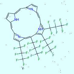 FC(F)(F)C(F)(F)C(F)(F)C1=Cc2cc3ccc(cc4nc(cc5[nH]c(c(C(F)(F)C(F)(F)C(F)(F)F)c1n2)c(C(F)(F)C(F)(F)C(F)(F)F)c5C(F)(F)C(F)(F)C(F)(F)F)C=C4)[nH]3.[Y]